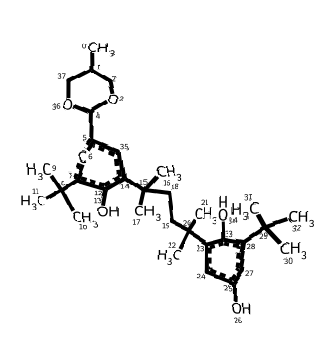 CC1COC(c2cc(C(C)(C)C)c(O)c(C(C)(C)CCC(C)(C)c3cc(O)cc(C(C)(C)C)c3O)c2)OC1